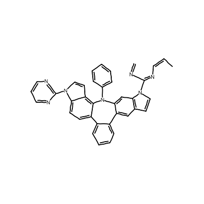 C=N/C(=N\C=C/C)n1ccc2cc3c(cc21)N(c1ccccc1)c1c(ccc2c1ccn2-c1ncccn1)-c1ccccc1-3